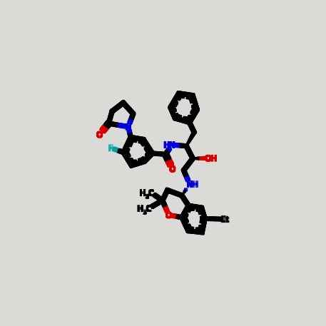 CCc1ccc2c(c1)[C@@H](NC[C@H](O)[C@H](Cc1ccccc1)NC(=O)c1ccc(F)c(N3CCCC3=O)c1)CC(C)(C)O2